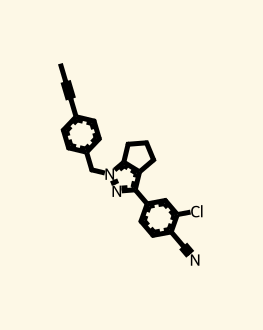 CC#Cc1ccc(Cn2nc(-c3ccc(C#N)c(Cl)c3)c3c2CCC3)cc1